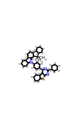 CC1(C)c2ccccc2-c2ccc3c4ccccc4n(-c4ccc(-c5nc(-c6ccccc6)nc6sc7ccccc7c56)cc4)c3c21